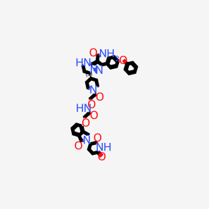 NC(=O)c1c(-c2ccc(Oc3ccccc3)cc2)nn2c1NCC[C@H]2C1CCN(C(=O)CONC(=O)COc2cccc3c2CN(C2CCC(=O)NC2=O)C3=O)CC1